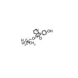 C[Si](C)(C)CCOCn1c(=O)n(-c2ccc(O)cc2)c2ncccc21